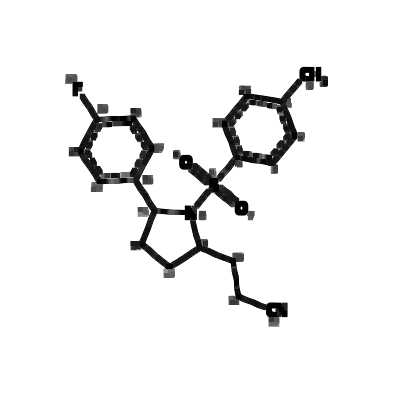 Cc1ccc(S(=O)(=O)N2C(CCC#N)CCC2c2ccc(F)cc2)cc1